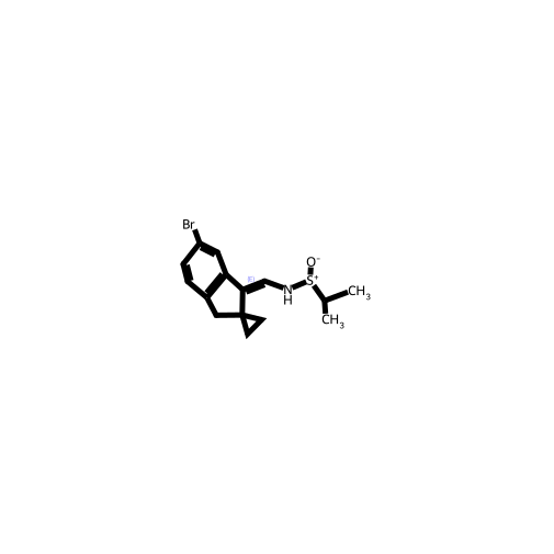 CC(C)[S+]([O-])N/C=C1/c2cc(Br)ccc2CC12CC2